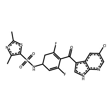 Cc1nc(C)c(S(=O)(=O)NC2C=C(F)C(C(=O)c3c[nH]c4ncc(Cl)cc34)=C(F)C2)s1